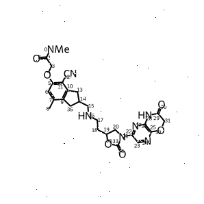 CNC(=O)COc1cc(C)c2c(c1C#N)CC(CNCCC1CN(c3cnc4c(n3)NC(=O)CO4)C(=O)O1)C2